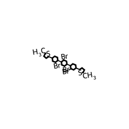 Cc1ccc(-c2ccc(-c3cc(Br)c(-c4ccc(-c5ccc(C)s5)cc4Br)cc3Br)c(Br)c2)s1